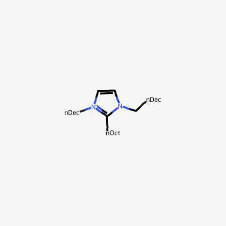 CCCCCCCCCCCn1cc[n+](CCCCCCCCCC)c1CCCCCCCC